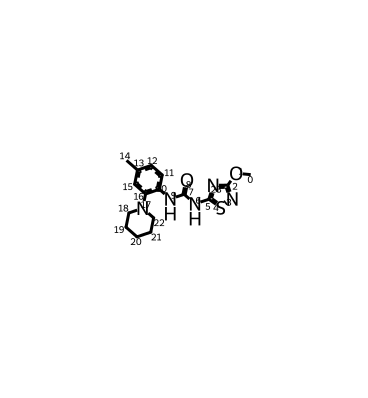 COc1nsc(NC(=O)Nc2ccc(C)cc2N2CCCCC2)n1